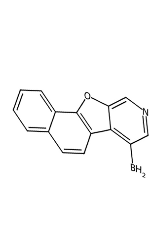 Bc1cncc2oc3c4ccccc4ccc3c12